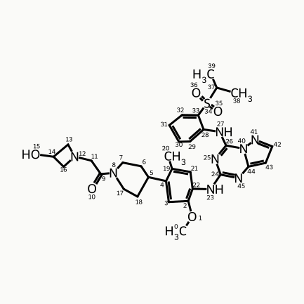 COc1cc(C2CCN(C(=O)CN3CC(O)C3)CC2)c(C)cc1Nc1nc(Nc2ccccc2S(=O)(=O)C(C)C)n2nccc2n1